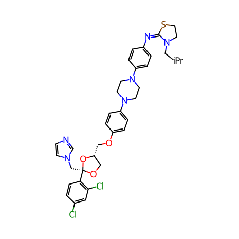 CC(C)CN1CCSC1=Nc1ccc(N2CCN(c3ccc(OC[C@@H]4CO[C@@](Cn5ccnc5)(c5ccc(Cl)cc5Cl)O4)cc3)CC2)cc1